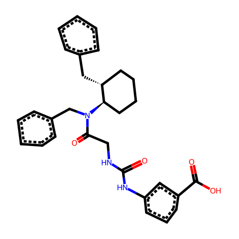 O=C(NCC(=O)N(Cc1ccccc1)[C@@H]1CCCC[C@H]1Cc1ccccc1)Nc1cccc(C(=O)O)c1